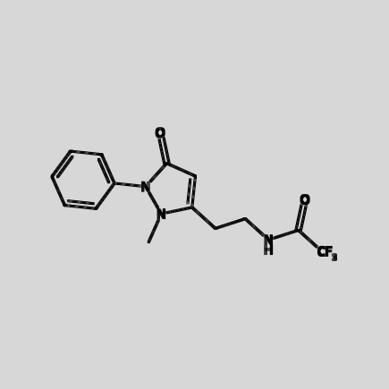 Cn1c(CCNC(=O)C(F)(F)F)cc(=O)n1-c1ccccc1